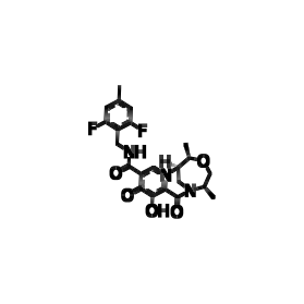 Cc1cc(F)c(CNC(=O)c2cn3c(c(O)c2=O)C(=O)N2C[C@@H]3[C@@H](C)OC[C@H]2C)c(F)c1